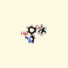 Cn1nccc1[C@H]1C[C@H](O[Si](C)(C)C(C)(C)C)CC[C@@H]1O